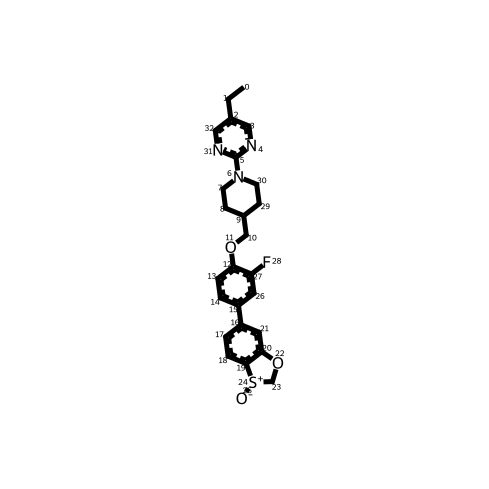 CCc1cnc(N2CCC(COc3ccc(-c4ccc5c(c4)OC[S+]5[O-])cc3F)CC2)nc1